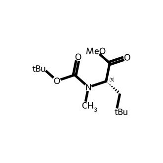 COC(=O)[C@H](CC(C)(C)C)N(C)C(=O)OC(C)(C)C